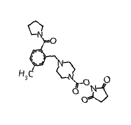 Cc1ccc(C(=O)N2CCCC2)c(CN2CCN(C(=O)ON3C(=O)CCC3=O)CC2)c1